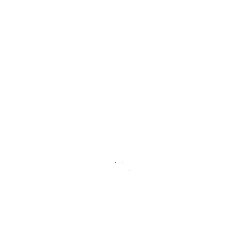 CC(=N)/C=C(/Oc1cc(F)c(C(=O)O)cc1C)C(N)=O